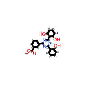 COC(=O)c1cccc(-c2nc(-c3ccccc3O)nc(-c3c(O)cccc3O)n2)c1